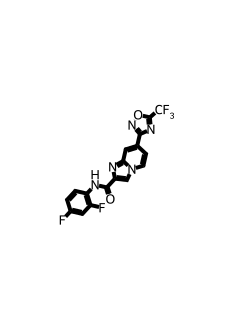 O=C(Nc1ccc(F)cc1F)c1cn2ccc(-c3noc(C(F)(F)F)n3)cc2n1